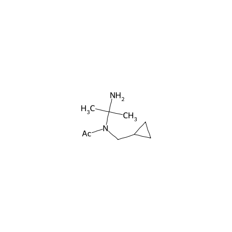 CC(=O)N(CC1CC1)C(C)(C)N